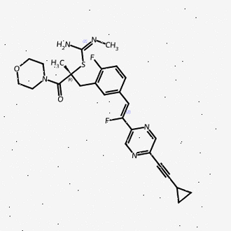 C/N=C(/N)S[C@](C)(Cc1cc(/C=C(\F)c2cnc(C#CC3CC3)cn2)ccc1F)C(=O)N1CCOCC1